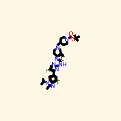 Cc1nc2c(F)cc(-c3nc(Nc4ccc5c(n4)CCN(CC4CCN(C(=O)OC(C)(C)C)CC4)C5)ncc3F)cc2n1C(C)C